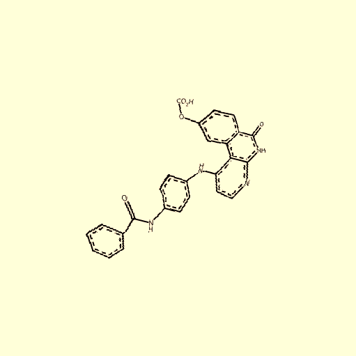 O=C(O)Oc1ccc2c(=O)[nH]c3nccc(Nc4ccc(NC(=O)c5ccccc5)cc4)c3c2c1